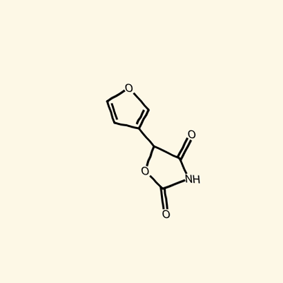 O=C1NC(=O)C(c2ccoc2)O1